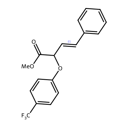 COC(=O)C(/C=C/c1ccccc1)Oc1ccc(C(F)(F)F)cc1